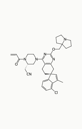 C=CC(=O)N1CCN(c2nc(OCC34CCCN3CCC4)nc3c2CC[C@]2(C=C(C)c4c(Cl)cccc42)C3)C[C@@H]1CC#N